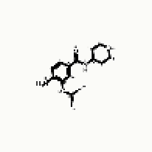 Nc1ccc(C(=O)NC2CCOCC2)cc1OC(F)F